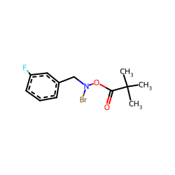 CC(C)(C)C(=O)ON(Br)Cc1cccc(F)c1